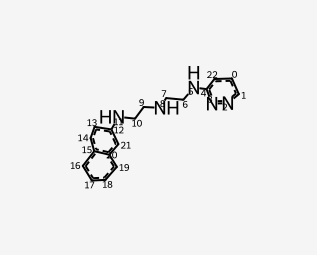 c1cnnc(NCCNCCNc2ccc3ccccc3c2)c1